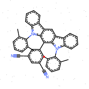 Cc1cccc(C)c1-n1c2ccccc2c2cc3c4ccccc4n(-c4c(C)cccc4C)c3c(-c3cc(C#N)cc(C#N)c3)c21